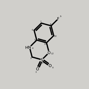 O=S1(=O)CNc2ccc(F)cc2O1